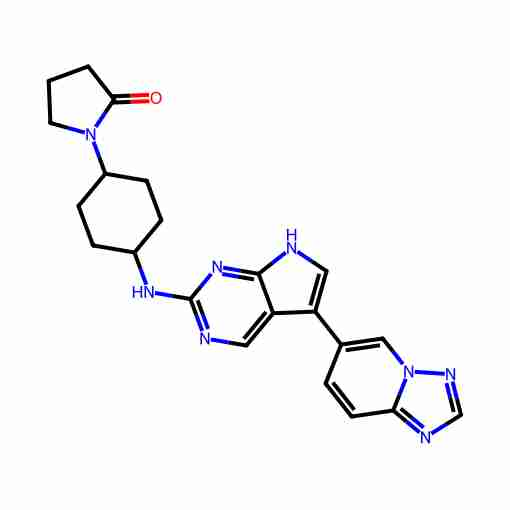 O=C1CCCN1C1CCC(Nc2ncc3c(-c4ccc5ncnn5c4)c[nH]c3n2)CC1